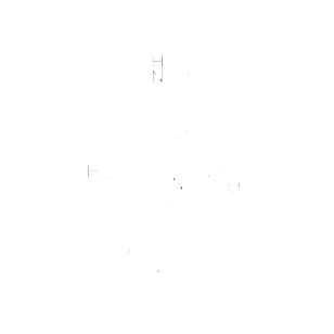 Cl.O=C1CC2(CCNCC2)CN1c1ccccc1